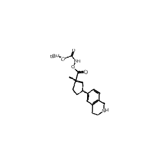 CC(C)(C)OC(=O)NOC(=O)C1(C)CCC(c2ccc3c(c2)CCNC3)C1